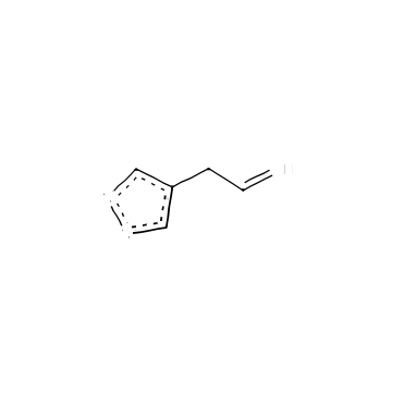 C=C[CH]c1cn[nH]c1